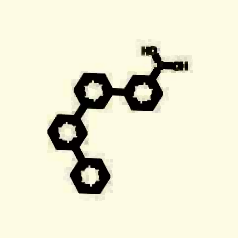 OB(O)c1cccc(-c2cccc(-c3cccc(-c4ccccc4)c3)c2)c1